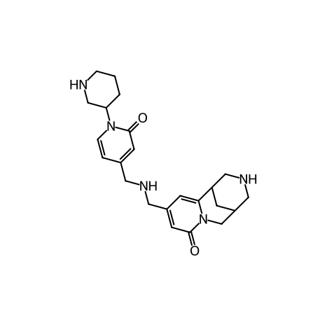 O=c1cc(CNCc2cc3n(c(=O)c2)CC2CNCC3C2)ccn1C1CCCNC1